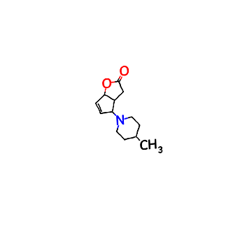 CC1CCN(C2C=CC3OC(=O)CC32)CC1